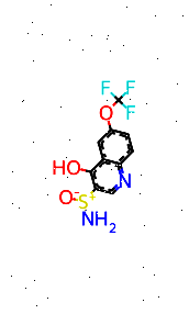 N[S+]([O-])c1cnc2ccc(OC(F)(F)F)cc2c1O